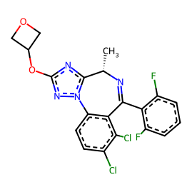 C[C@@H]1N=C(c2c(F)cccc2F)c2c(ccc(Cl)c2Cl)-n2nc(OC3COC3)nc21